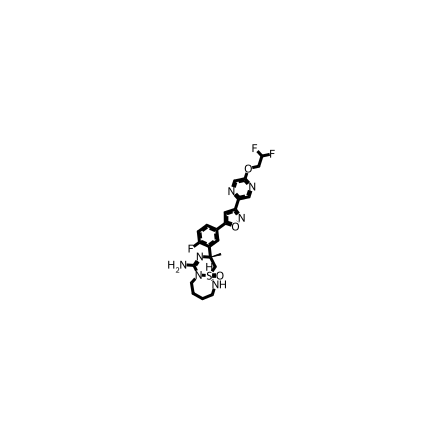 C[C@@]1(c2cc(-c3cc(-c4cnc(OCC(F)F)cn4)no3)ccc2F)C[SH]2(=O)NCCCCN2C(N)=N1